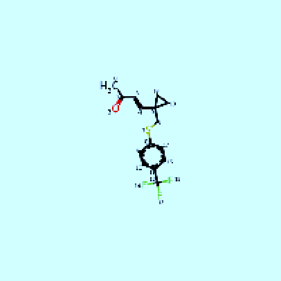 CC(=O)/C=C/C1(CSc2ccc(C(F)(F)F)cc2)CC1